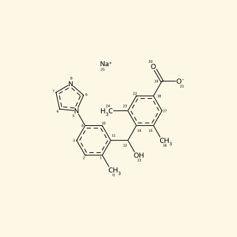 Cc1ccc(-n2ccnc2)cc1C(O)c1c(C)cc(C(=O)[O-])cc1C.[Na+]